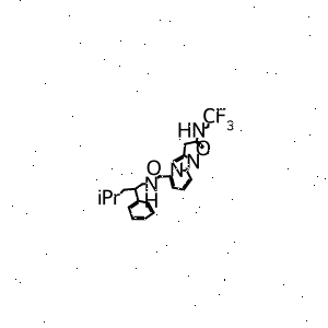 CC(C)CC(CNC(=O)c1cccc2nc(CC(=O)NCC(F)(F)F)cn12)c1ccccc1